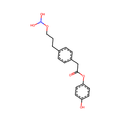 O=C(Cc1ccc(CCCON(O)O)cc1)Oc1ccc(O)cc1